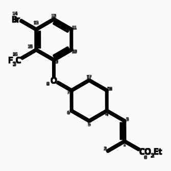 CCOC(=O)/C(C)=C/C1CCC(Oc2cccc(Br)c2C(F)(F)F)CC1